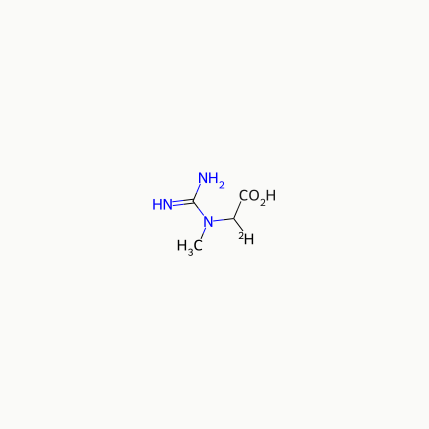 [2H]C(C(=O)O)N(C)C(=N)N